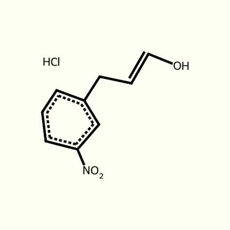 Cl.O=[N+]([O-])c1cccc(CC=CO)c1